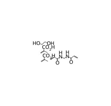 C=C(C)C(=O)O.C=C(C)C(=O)O.C=CC(=O)NCNC(=O)C=C.OCCO